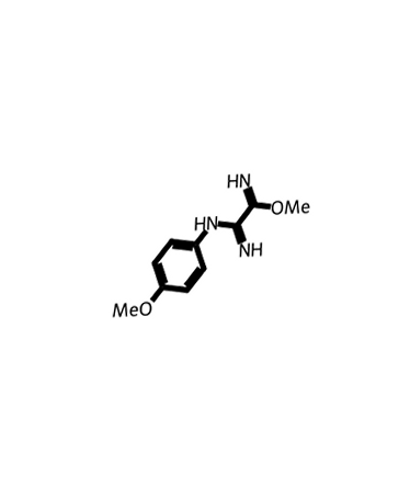 COC(=N)C(=N)Nc1ccc(OC)cc1